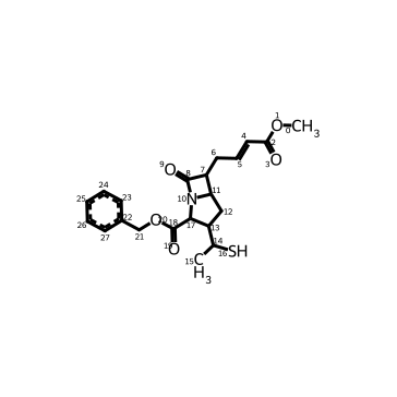 COC(=O)C=CCC1C(=O)N2C1CC(C(C)S)C2C(=O)OCc1ccccc1